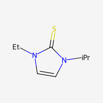 CCn1ccn(C(C)C)c1=S